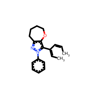 C/C=C\C(=C/C)c1c2c(nn1-c1ccccc1)CCCCO2